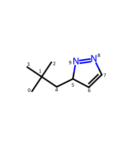 CC(C)(C)CC1C=CN=N1